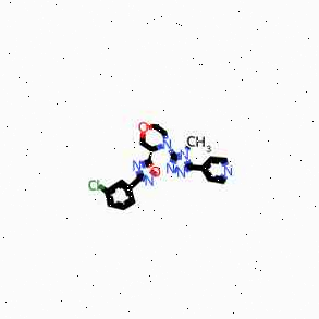 Cn1c(-c2ccncc2)nnc1N1CCOC[C@@H]1c1nc(-c2cccc(Cl)c2)no1